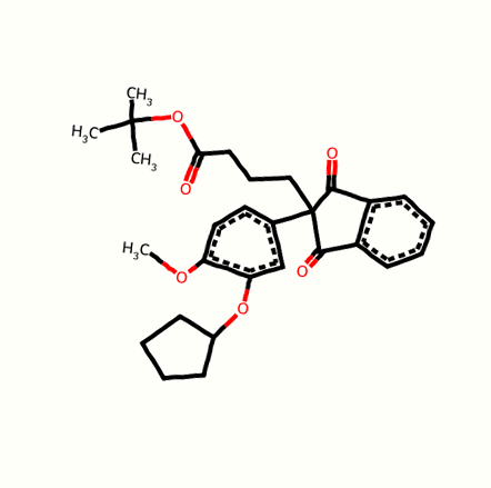 COc1ccc(C2(CCCC(=O)OC(C)(C)C)C(=O)c3ccccc3C2=O)cc1OC1CCCC1